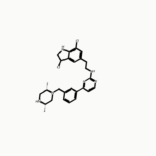 C[C@H]1CN(Cc2cccc(-c3ccnc(NCCc4cc(Cl)c5c(c4)C(Cl)CN5)n3)c2)[C@@H](C)CN1